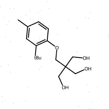 Cc1ccc(OCC(CO)(CO)CO)c(C(C)(C)C)c1